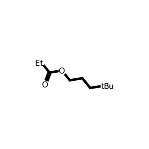 CCC(=O)OCCCC(C)(C)C